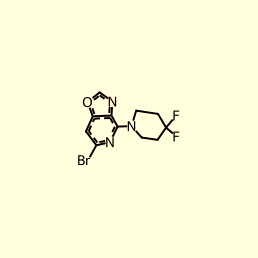 FC1(F)CCN(c2nc(Br)cc3ocnc23)CC1